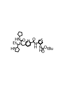 CCC(C1CCCN1)N(Cc1ccc(C(=O)Nc2cscc2NC(=O)OC(C)(C)C)nc1)C(=O)NC1CCCC1